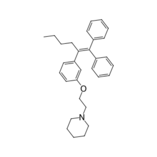 CCCCC(=C(c1ccccc1)c1ccccc1)c1cccc(OCCN2CCCCC2)c1